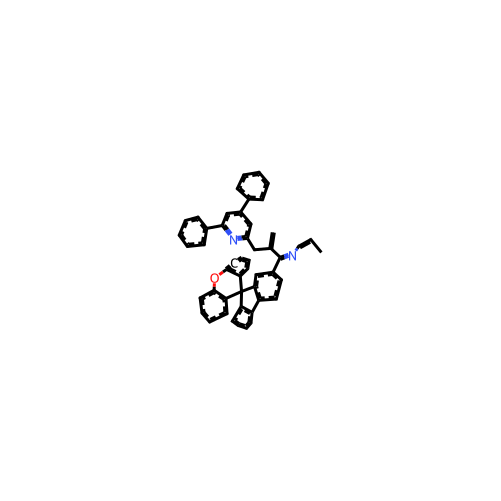 C=C(Cc1cc(-c2ccccc2)cc(-c2ccccc2)n1)/C(=N\C=C/C)c1ccc2c(c1)C1(c3ccccc3Oc3ccccc31)c1ccccc1-2